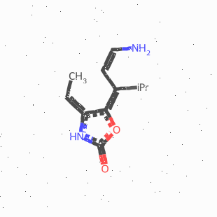 C/C=c1/[nH]c(=O)o/c1=C(/C=C\N)C(C)C